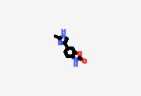 Cc1nc(-c2ccc3[nH]c(=O)oc3c2)c[nH]1